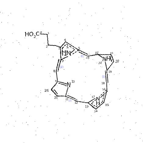 O=C(O)CCc1c/c2[nH]/c1=C\C1=NC(=C\c3ccc([nH]3)/C=C3/C=CC(/C=2)N3)/C=C1